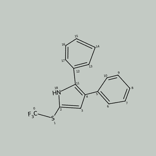 FC(F)(F)Sc1cc(-c2ccccc2)c(-c2ccccc2)[nH]1